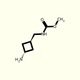 COC(=O)NC[C@H]1C[C@H](N)C1